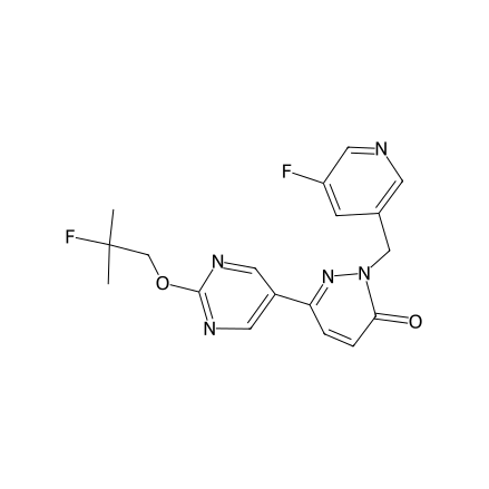 CC(C)(F)COc1ncc(-c2ccc(=O)n(Cc3cncc(F)c3)n2)cn1